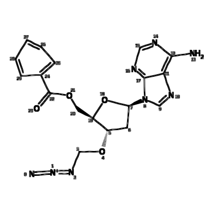 [N-]=[N+]=NCO[C@H]1C[C@H](n2cnc3c(N)ncnc32)O[C@@H]1COC(=O)c1ccccc1